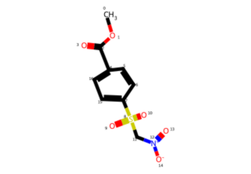 COC(=O)c1ccc(S(=O)(=O)C[N+](=O)[O-])cc1